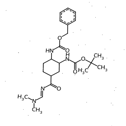 CN(C)C=NC(=O)C1CCC(NC(=O)OCc2ccccc2)C(NC(=O)OC(C)(C)C)C1